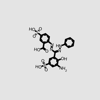 Nc1cc(S(=O)(=O)O)cc(C(N=Nc2ccc(S(=O)(=O)O)cc2C(=O)O)=NNc2ccccc2)c1O